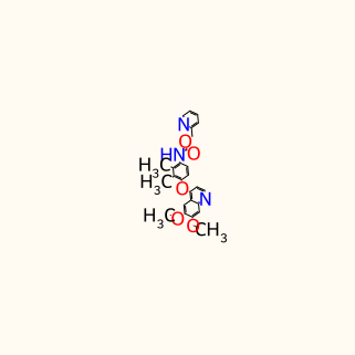 COc1cc2nccc(Oc3ccc(NC(=O)OCc4ccccn4)c(C)c3C)c2cc1OC